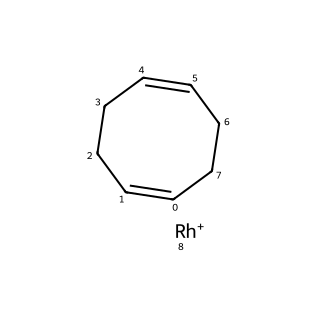 C1=CCCC=CCC1.[Rh+]